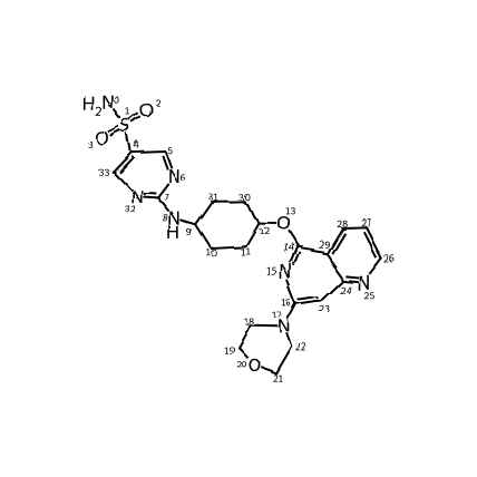 NS(=O)(=O)c1cnc(NC2CCC(Oc3nc(N4CCOCC4)cc4ncccc34)CC2)nc1